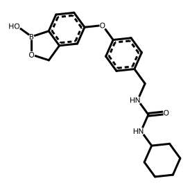 O=C(NCc1ccc(Oc2ccc3c(c2)COB3O)cc1)NC1CCCCC1